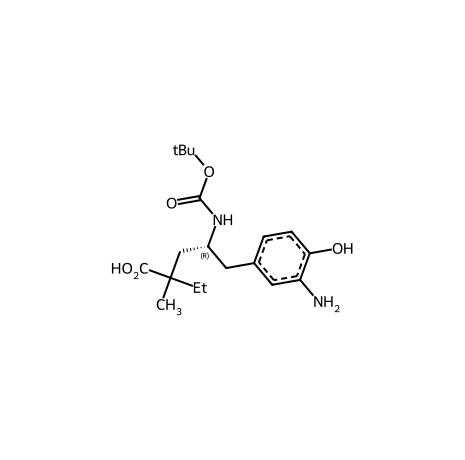 CCC(C)(C[C@@H](Cc1ccc(O)c(N)c1)NC(=O)OC(C)(C)C)C(=O)O